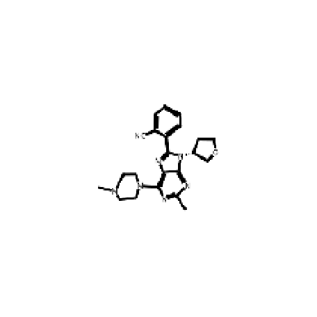 Cc1nc(N2CCN(C)CC2)c2nc(-c3ccccc3C#N)n([C@@H]3CCOC3)c2n1